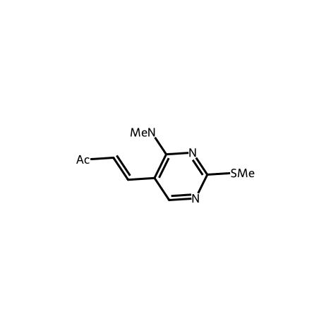 CNc1nc(SC)ncc1/C=C/C(C)=O